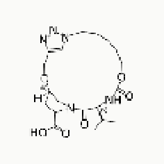 CC(C)[C@@H]1NC(=O)OCCCCCn2cc(nn2)CO[C@@H]2CC(C(=O)O)N(C2)C1=O